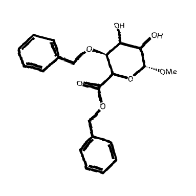 CO[C@@H]1OC(C(=O)OCc2ccccc2)[C@@H](OCc2ccccc2)C(O)C1O